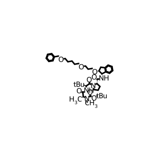 C[C@H](C(=O)N[C@H](C(=O)N1CCC[C@H]1C(=O)N[C@H]1c2ccccc2C[C@H]1OCCCOCCCCCOCc1ccccc1)C(C)(C)C)N(C)C(=O)OC(C)(C)C